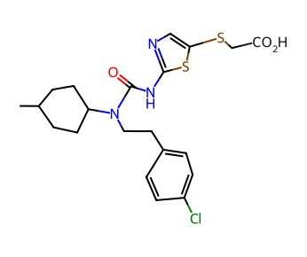 CC1CCC(N(CCc2ccc(Cl)cc2)C(=O)Nc2ncc(SCC(=O)O)s2)CC1